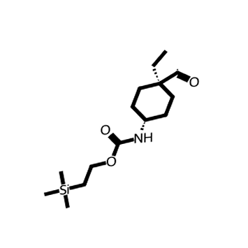 CC[C@]1([C]=O)CC[C@H](NC(=O)OCC[Si](C)(C)C)CC1